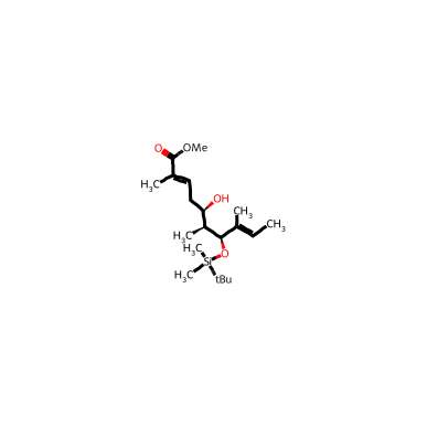 C/C=C(\C)[C@@H](O[Si](C)(C)C(C)(C)C)[C@@H](C)[C@H](O)C/C=C(\C)C(=O)OC